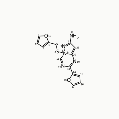 NC1=N[N+]2(SCc3ccco3)C=NC(c3ccco3)=NC2=C1